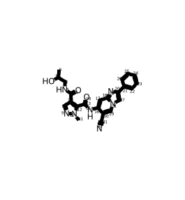 CC(O)CNC(=O)c1cnn(C)c1C(=O)Nc1cc2nc(-c3ccccc3)cn2cc1C#N